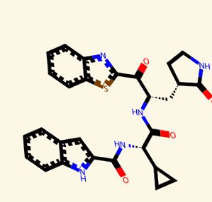 O=C(N[C@H](C(=O)N[C@@H](C[C@@H]1CCNC1=O)C(=O)c1nc2ccccc2s1)C1CC1)c1cc2ccccc2[nH]1